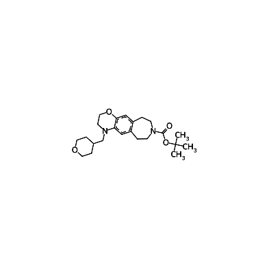 CC(C)(C)OC(=O)N1CCc2cc3c(cc2CC1)N(CC1CCOCC1)CCO3